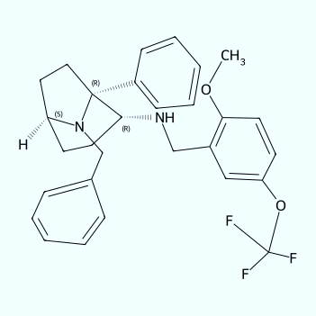 COc1ccc(OC(F)(F)F)cc1CN[C@@H]1CC[C@H]2CC[C@]1(c1ccccc1)N2Cc1ccccc1